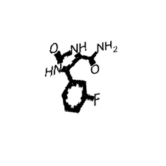 NC(=O)c1[nH]c(=O)[nH]c1-c1cccc(F)c1